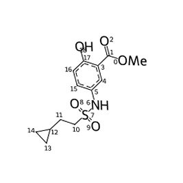 COC(=O)c1cc(NS(=O)(=O)CCC2CC2)ccc1O